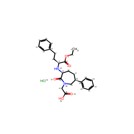 CCOC(=O)[C@H](CCc1ccccc1)N[C@H]1CC[C@@H](c2ccccc2)CN(CC(=O)O)C1=O.Cl